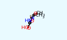 CC(C)Oc1ccc(-c2nc(C(=O)Nc3ccc(CCC(=O)O)cc3)cs2)cc1